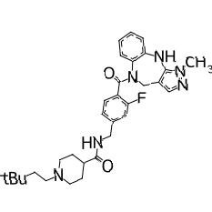 Cn1ncc2c1Nc1ccccc1N(C(=O)c1ccc(CNC(=O)C3CCN(CCC(C)(C)C)CC3)cc1F)C2